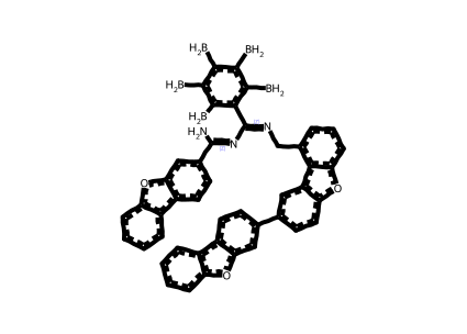 Bc1c(B)c(B)c(C(/N=C(\N)c2ccc3c(c2)oc2ccccc23)=N/Cc2cccc3oc4ccc(-c5ccc6c(c5)oc5ccccc56)cc4c23)c(B)c1B